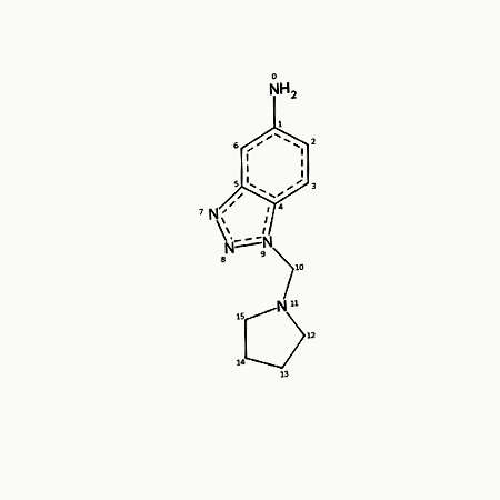 Nc1ccc2c(c1)nnn2CN1CCCC1